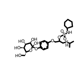 CC(C)NCC(COc1ccc(O[C@]2(O)O[C@H](CO)[C@@H](O)[C@H](O)[C@H]2O)cc1)OS(=O)(=O)NC1CCCCC1